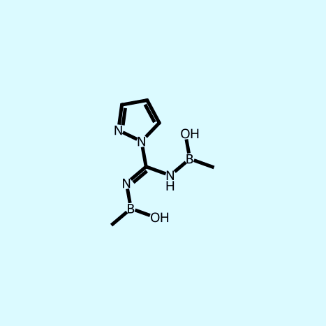 CB(O)/N=C(\NB(C)O)n1cccn1